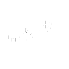 CS(=O)(=O)NCCc1noc([C@H](CCCC2CCCCC2)CC(=O)NO)n1